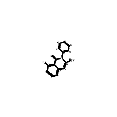 C=C1c2c(F)cccc2C=C(C(C)C)N1c1ccccc1